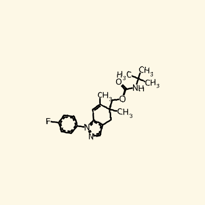 CC1=Cc2c(cnn2-c2ccc(F)cc2)CC1(C)COC(=O)NC(C)(C)C